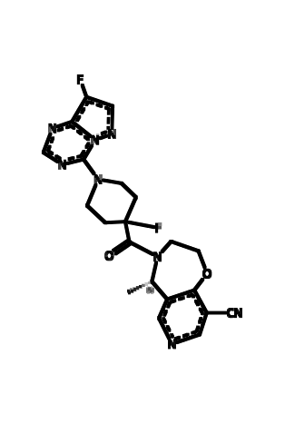 C[C@H]1c2cncc(C#N)c2OCCN1C(=O)C1(F)CCN(c2ncnc3c(F)cnn23)CC1